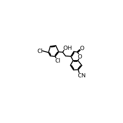 N#Cc1ccc2c(CC(O)c3ccc(Cl)cc3Cl)cc(=O)oc2c1